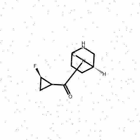 O=C(C1C[C@H]1F)N1CC2CC[C@H](CN2)C1